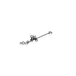 CCCCCCCCOCCCN(CCCNC(=O)CCCCCCCCCCCCCCC(C)C)CC(O)CO